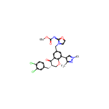 CCn1cc(-c2cc(Cn3cco/c3=N/C(=O)OC(C)(C)C)cc3c2OC[C@H](Cc2ccc(Cl)c(Cl)c2)C3=O)c(C(F)(F)F)n1